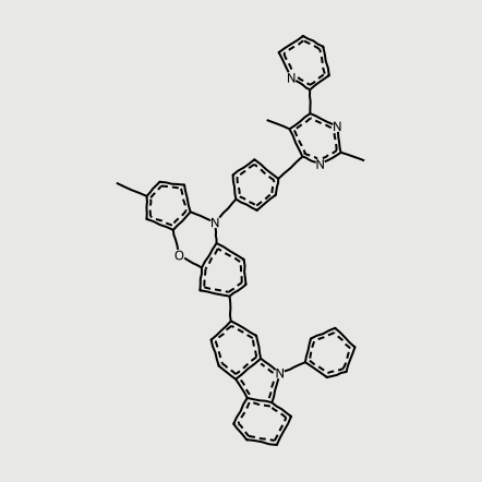 Cc1ccc2c(c1)Oc1cc(-c3ccc4c5ccccc5n(-c5ccccc5)c4c3)ccc1N2c1ccc(-c2nc(C)nc(-c3ccccn3)c2C)cc1